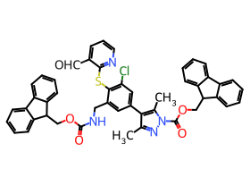 Cc1nn(C(=O)OCC2c3ccccc3-c3ccccc32)c(C)c1-c1cc(Cl)c(Sc2ncccc2C=O)c(CNC(=O)OCC2c3ccccc3-c3ccccc32)c1